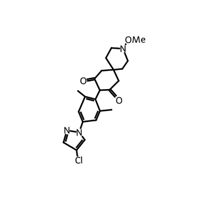 CON1CCC2(CC1)CC(=O)C(c1c(C)cc(-n3cc(Cl)cn3)cc1C)C(=O)C2